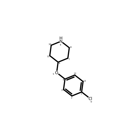 Clc1c[c]c(OC2CCNCC2)cc1